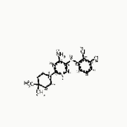 CC1(C)CCN(c2nnc(Sc3cccc(Cl)c3Cl)c(N)n2)CC1